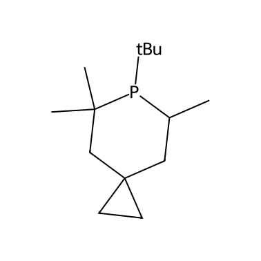 CC1CC2(CC2)CC(C)(C)P1C(C)(C)C